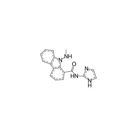 CNn1c2ccccc2c2cccc(C(=O)Nc3ncc[nH]3)c21